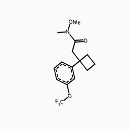 CON(C)C(=O)CC1(c2cccc(OC(F)(F)F)c2)CCC1